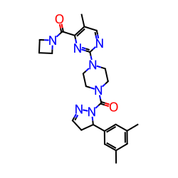 Cc1cc(C)cc(C2CC=NN2C(=O)N2CCN(c3ncc(C)c(C(=O)N4CCC4)n3)CC2)c1